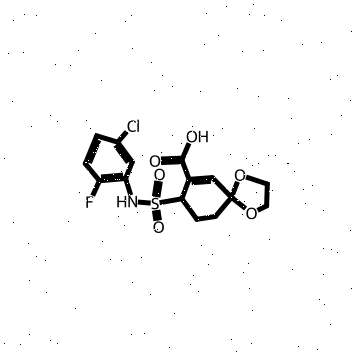 O=C(O)C1=CC2(CCC1S(=O)(=O)Nc1cc(Cl)ccc1F)OCCO2